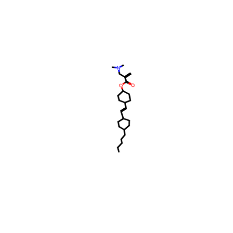 C=C(CN(C)C)C(=O)OC1CCC(/C=C/C2CCC(CCCCC)CC2)CC1